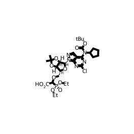 CCOP(=O)(OCC)C(OC[C@H]1O[C@@H](n2ncc3c(N(C(=O)OC(C)(C)C)C4CCCC4)nc(Cl)nc32)[C@@H]2OC(C)(C)O[C@@H]21)C(=O)O